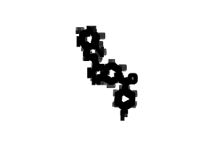 O=C(c1ccc(F)cc1)N1CCn2c(nnc2-c2nc3cncnc3s2)C1